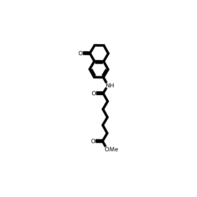 COC(=O)CCCCCC(=O)Nc1ccc2c(c1)CCCC2=O